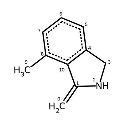 C=C1NCc2cccc(C)c21